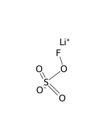 O=S(=O)([O-])OF.[Li+]